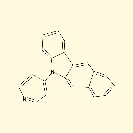 c1ccc2cc3c(cc2c1)c1ccccc1n3-c1ccncc1